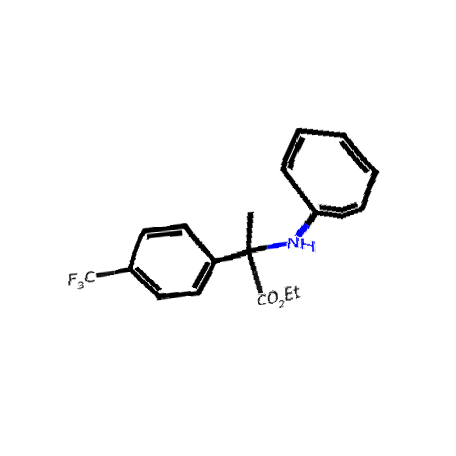 CCOC(=O)C(C)(Nc1ccccc1)c1ccc(C(F)(F)F)cc1